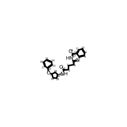 O=C(CCCc1nc2ccccc2c(=O)[nH]1)N[C@H]1CCC(Oc2ccccc2)C1